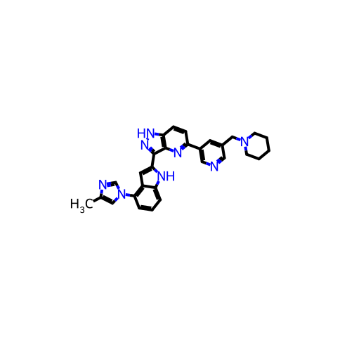 Cc1cn(-c2cccc3[nH]c(-c4n[nH]c5ccc(-c6cncc(CN7CCCCC7)c6)nc45)cc23)cn1